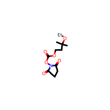 CCOC(C)(C)CCOC(=O)ON1C(=O)CCC1=O